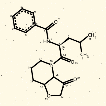 CC(C)C[C@H](NC(=O)c1ccccc1)C(=O)N1CCCC2OCC(=O)C21